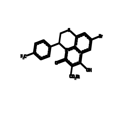 CCOC(=O)c1c(O)c2cc(Br)cc3c2n(c1=O)C(c1ccc(C(F)(F)F)cc1)CS3